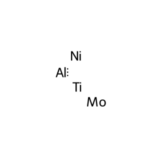 [Al].[Mo].[Ni].[Ti]